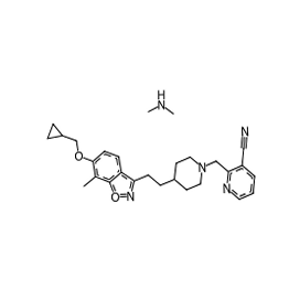 CNC.Cc1c(OCC2CC2)ccc2c(CCC3CCN(Cc4ncccc4C#N)CC3)noc12